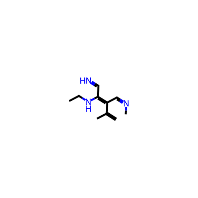 C=C(C)C(/C=N\C)=C(/C=N)NCC